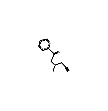 C#CCN(C)CC(=O)c1ccccn1